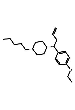 C=CCC(c1ccc(OCC)cc1)[C@H]1CC[C@H](CCCCC)CC1